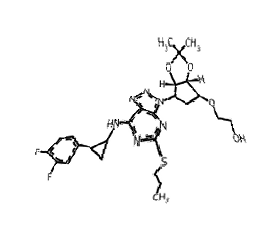 CCCSc1nc(NC2C[C@H]2c2ccc(F)c(F)c2)c2nnn(C3C[C@H](OCCO)[C@H]4OC(C)(C)O[C@@H]34)c2n1